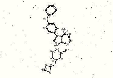 Nc1ncnc2c1c(-c1ccc(Oc3ccccc3)cc1)nn2[C@H]1CCN(CC2CNC2)C[C@@H]1F